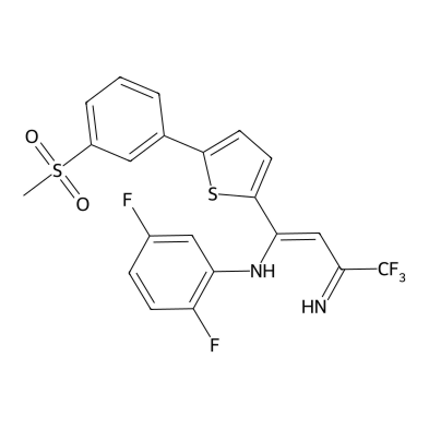 CS(=O)(=O)c1cccc(-c2ccc(/C(=C/C(=N)C(F)(F)F)Nc3cc(F)ccc3F)s2)c1